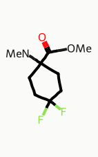 CNC1(C(=O)OC)CCC(F)(F)CC1